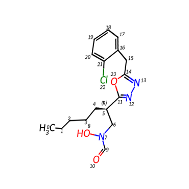 CCCCC[C@H](CN(O)C=O)c1nnc(Cc2ccccc2Cl)o1